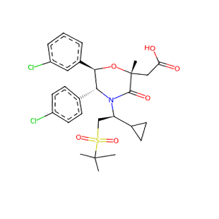 CC(C)(C)S(=O)(=O)C[C@H](C1CC1)N1C(=O)[C@@](C)(CC(=O)O)O[C@H](c2cccc(Cl)c2)[C@H]1c1ccc(Cl)cc1